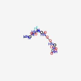 O=C1CCC(N2C(=O)c3cccc(NCCOCCCOCCNC(=O)c4ccc(-n5cc(NC(=O)c6coc(-c7ccnc(NCC8CC8)c7)n6)c(C(F)F)n5)cc4)c3C2=O)C(=O)N1